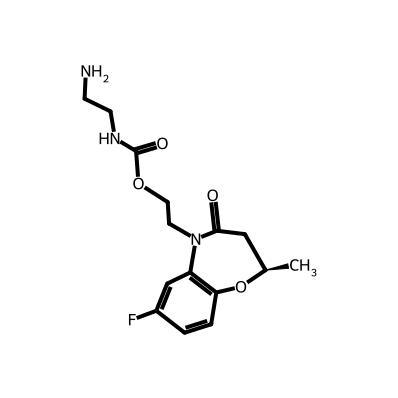 C[C@@H]1CC(=O)N(CCOC(=O)NCCN)c2cc(F)ccc2O1